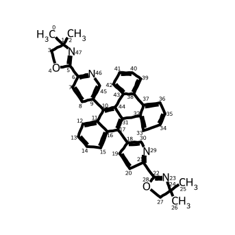 CC1(C)COC(c2ccc(-c3c4ccccc4c(-c4ccc(C5=NC(C)(C)CO5)nc4)c4c5ccccc5c5ccccc5c34)cn2)=N1